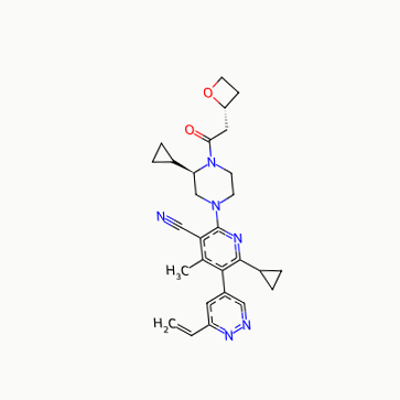 C=Cc1cc(-c2c(C3CC3)nc(N3CCN(C(=O)C[C@H]4CCO4)[C@H](C4CC4)C3)c(C#N)c2C)cnn1